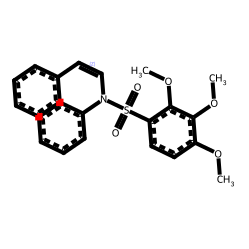 COc1ccc(S(=O)(=O)N(/C=C\c2ccccc2)c2ccccc2)c(OC)c1OC